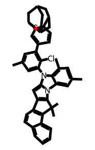 Cc1cc(-c2ccc3c(c2)C2CC4CC(CC3C4)C2)c(Cl)c(-n2c3c(C)cc(C)cc3n3c4c(cc23)-c2ccc3ccccc3c2C4(C)C)c1